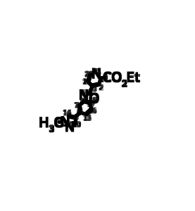 CCOC(=O)c1cc(-c2nc3cc(-c4cnn(C)c4)ccc3o2)ccn1